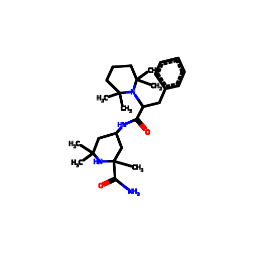 CC1(C)CC(NC(=O)C(Cc2ccccc2)N2C(C)(C)CCCC2(C)C)CC(C)(C(N)=O)N1